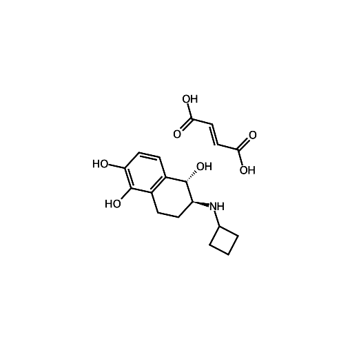 O=C(O)/C=C/C(=O)O.Oc1ccc2c(c1O)CC[C@H](NC1CCC1)[C@H]2O